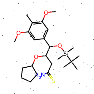 COc1cc(C(O[Si](C)(C)C(C)(C)C)C(CC(N)=S)OC2CCCC2)cc(OC)c1C